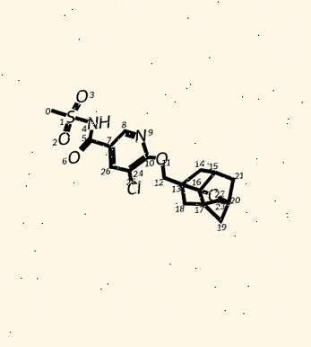 CS(=O)(=O)NC(=O)c1cnc(OCC23CC4CC5(C2)CC(C4)(C3)C5)c(Cl)c1